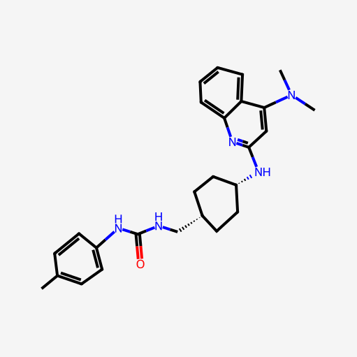 Cc1ccc(NC(=O)NC[C@H]2CC[C@@H](Nc3cc(N(C)C)c4ccccc4n3)CC2)cc1